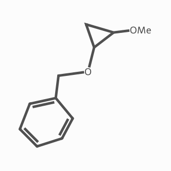 COC1CC1OCc1ccccc1